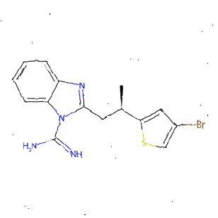 C[C@H](Cc1nc2ccccc2n1C(=N)N)c1cc(Br)cs1